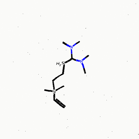 C=C[Si](C)(C)CC[SiH2]C(N(C)C)N(C)C